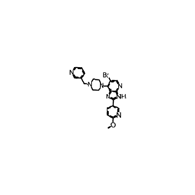 COc1ccc(-c2nc3c(N4CCN(Cc5cccnc5)CC4)c(Br)cnc3[nH]2)cn1